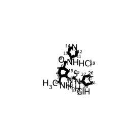 CC(N)c1ccc(C(=O)Nc2ccncc2)cc1NC(=S)Nc1ccccc1.Cl.Cl